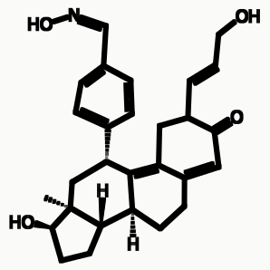 C[C@]12C[C@H](c3ccc(/C=N\O)cc3)C3=C4CC(C=CCO)C(=O)C=C4CC[C@H]3[C@@H]1CC[C@H]2O